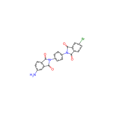 Nc1ccc2c(c1)C(=O)N(c1ccc(N3C(=O)c4ccc(Br)cc4C3=O)cc1)C2=O